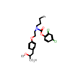 CCOC(Cc1ccc(OCCN(CCCC(C)C)C(=O)Oc2ccc(Cl)cc2Cl)cc1)C(=O)O